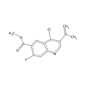 C=C(C)c1cnc2cc(F)c(C(=O)OC)cc2c1Cl